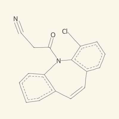 N#CCC(=O)N1c2ccccc2C=Cc2cccc(Cl)c21